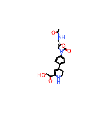 CC(=O)NC[C@H]1CN(c2ccc(C3=CC(C(=O)CO)NCC3)cc2)C(=O)O1